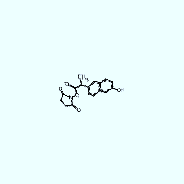 C[C@H](C(=O)ON1C(=O)CCC1=O)c1ccc2cc(O)ccc2c1